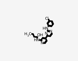 CCCC(O)Nc1cc(-c2ccnc(Nc3cccc(Cl)c3)n2)ccn1